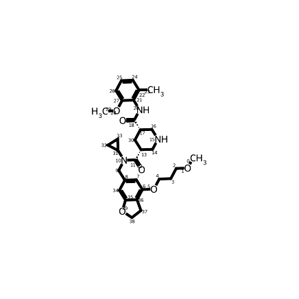 COCCCOc1cc(CN(C(=O)[C@H]2CNC[C@@H](C(=O)Nc3c(C)cccc3OC)C2)C2CC2)cc2c1CCO2